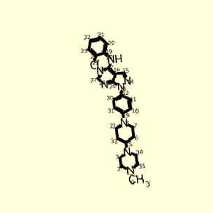 CN1CCN(C2CCN(c3ccc(-n4ncc5c(Nc6ccccc6Cl)ncnc54)cc3)CC2)CC1